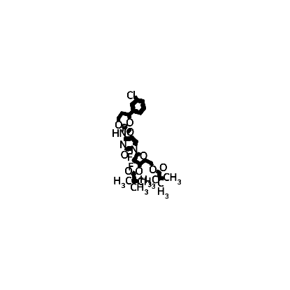 CC(C)(C)C(=O)OCC1OC(n2ccc(NP3(=O)OCCC(c4cccc(Cl)c4)O3)nc2=O)C(F)(F)C1OC(=O)C(C)(C)C